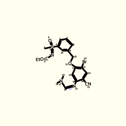 CCOC(=O)N=S(C)(=O)c1cccc(COc2cc(/N=C\N(C)C)c(C#N)cc2Br)c1